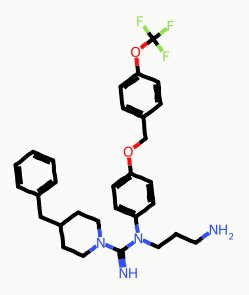 N=C(N1CCC(Cc2ccccc2)CC1)N(CCCN)c1ccc(OCc2ccc(OC(F)(F)F)cc2)cc1